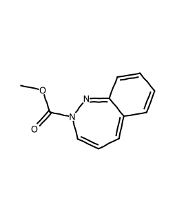 COC(=O)N1C=CC=c2ccccc2=N1